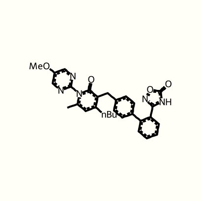 CCCCc1cc(C)n(-c2ncc(OC)cn2)c(=O)c1Cc1ccc(-c2ccccc2-c2noc(=O)[nH]2)cc1